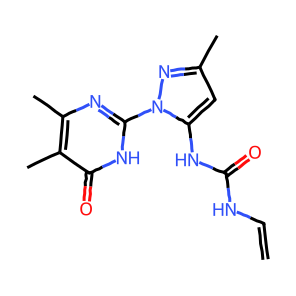 C=CNC(=O)Nc1cc(C)nn1-c1nc(C)c(C)c(=O)[nH]1